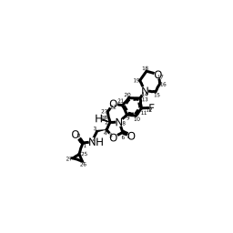 O=C(NC[C@@H]1OC(=O)N2c3cc(F)c(N4CCOCC4)cc3OC[C@@H]12)C1CC1